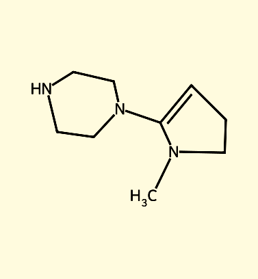 CN1CCC=C1N1CCNCC1